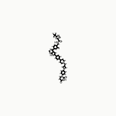 Cc1cc(-c2ncnc3[nH]c(-c4ccc(C5CCN(CC6CN(c7ccc(N8CCC(=O)NC8=O)cc7)C6)CC5)cc4)cc23)ccc1CNC(=O)c1nc(C(C)(C)C)no1